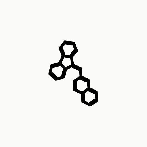 C(=C1c2ccccc2-c2ccccc21)c1ccc2ccccc2c1